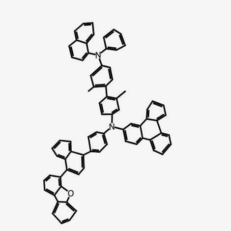 Cc1cc(N(c2ccc(-c3ccc(-c4cccc5c4oc4ccccc45)c4ccccc34)cc2)c2ccc3c4ccccc4c4ccccc4c3c2)ccc1-c1ccc(N(c2ccccc2)c2cccc3ccccc23)cc1C